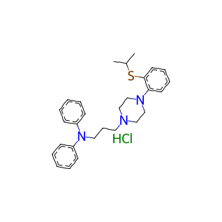 CC(C)Sc1ccccc1N1CCN(CCCN(c2ccccc2)c2ccccc2)CC1.Cl